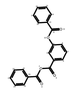 O=C(OC(=O)c1cccc(OC(=O)c2ccccc2)c1)c1ccccc1